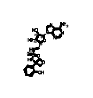 Nc1ncnc2c1ncn2[C@@H]1O[C@H](CNS(=O)(=O)NC2(c3ccccc3O)COC2)[C@@H](O)[C@H]1O